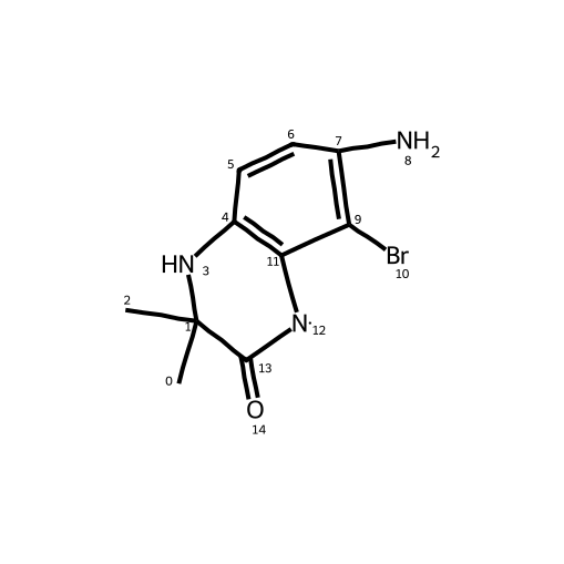 CC1(C)Nc2ccc(N)c(Br)c2[N]C1=O